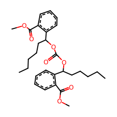 CCCCCC(OC(=O)OC(CCCCC)c1ccccc1C(=O)OC)c1ccccc1C(=O)OC